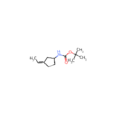 [CH2]C=C1CCC(NC(=O)OC(C)(C)C)C1